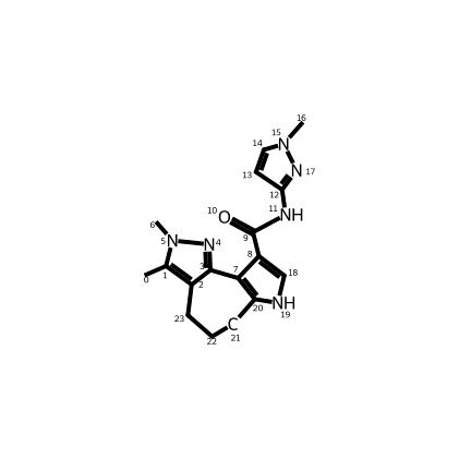 Cc1c2c(nn1C)-c1c(C(=O)Nc3ccn(C)n3)c[nH]c1CCC2